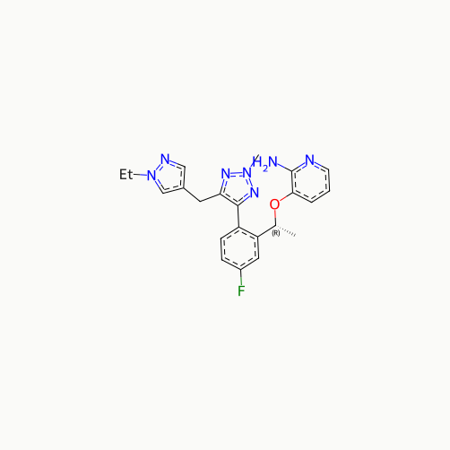 CCn1cc(Cc2nn(C)nc2-c2ccc(F)cc2[C@@H](C)Oc2cccnc2N)cn1